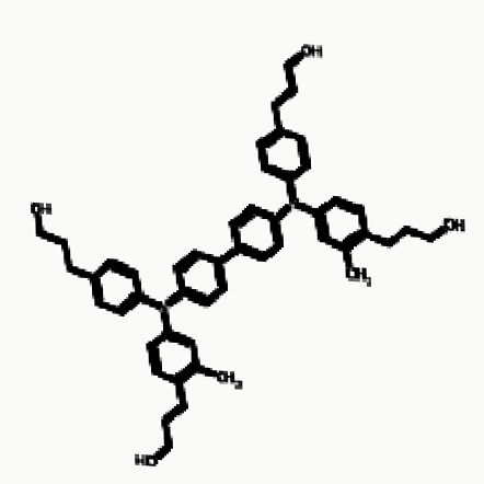 Cc1cc(N(c2ccc(CCCO)cc2)c2ccc(-c3ccc(N(c4ccc(CCCO)cc4)c4ccc(CCCO)c(C)c4)cc3)cc2)ccc1CCCO